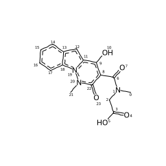 CN(CC(=O)O)C(=O)c1c(O)c2cc3ccccc3n2n(C)c1=O